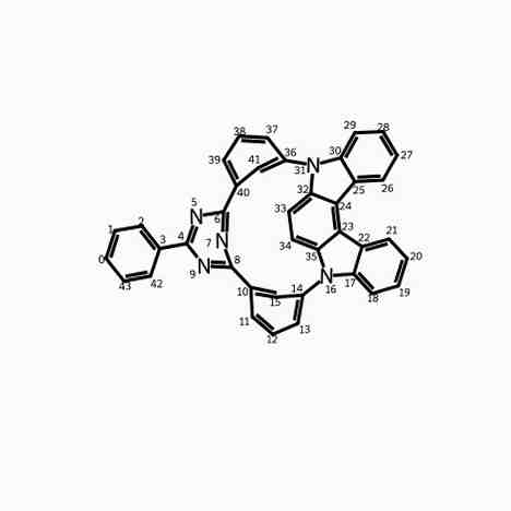 c1ccc(-c2nc3nc(n2)-c2cccc(c2)-n2c4ccccc4c4c5c6ccccc6n(c5ccc42)-c2cccc-3c2)cc1